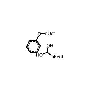 CCCCCC(O)O.CCCCCCCCOc1ccccc1